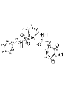 Cc1ccc(NC(=O)Cn2ncc(Cl)c(Cl)c2=O)nc1S(=O)(=O)NCc1ccccn1